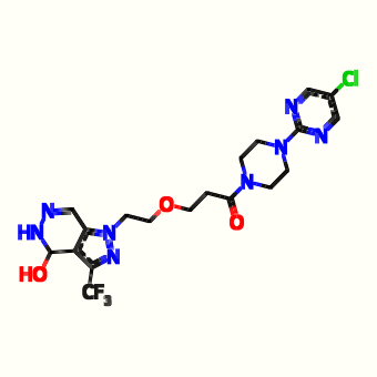 O=C(CCOCCn1nc(C(F)(F)F)c2c1C=NNC2O)N1CCN(c2ncc(Cl)cn2)CC1